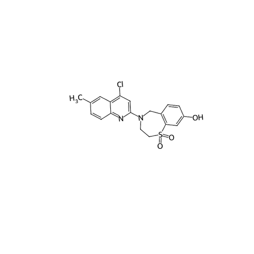 Cc1ccc2nc(N3CCS(=O)(=O)c4cc(O)ccc4C3)cc(Cl)c2c1